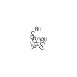 CNCCOc1cnc(N2CCn3c(C)cc4c(-c5ccc(C)cc5)c([C@H](OC(C)(C)C)C(=O)O)c(C)c2c43)nc1